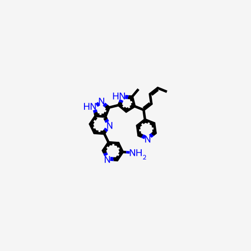 C/C=C\C=C(\c1ccncc1)c1cc(-c2n[nH]c3ccc(-c4cncc(N)c4)nc23)[nH]c1C